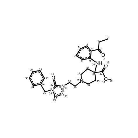 CCC(=O)c1ccccc1NC1(C(=O)OC)CCN(CCn2nnn(Cc3ccccc3)c2=O)CC1